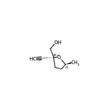 C#C[C@@]1(CO)CC[C@H](C)O1